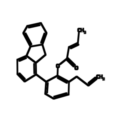 C=CCc1cccc(-c2cccc3c2Cc2ccccc2-3)c1OC(=O)C=CC